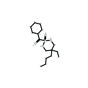 CCCCC1(CC)COP(=O)(C(=O)C2CCCCC2)OC1